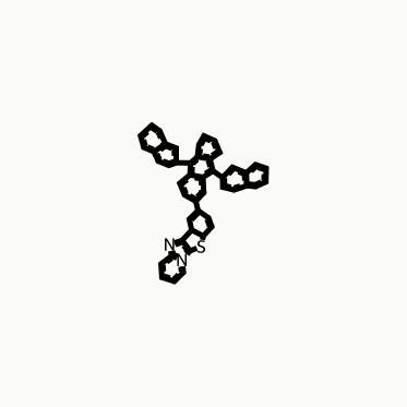 C1=CC2Sc3c(nc4ccccn34)C2C=C1c1ccc2c(-c3ccc4ccccc4c3)c3ccccc3c(-c3ccc4ccccc4c3)c2c1